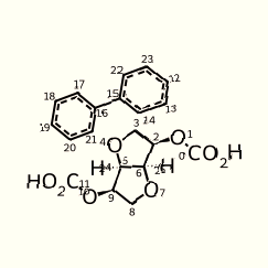 O=C(O)O[C@@H]1CO[C@H]2[C@@H]1OC[C@H]2OC(=O)O.c1ccc(-c2ccccc2)cc1